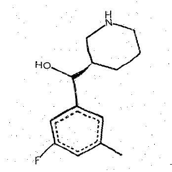 Cc1cc(F)cc(C(O)[C@@H]2CCCNC2)c1